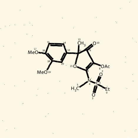 CCS(=O)(=O)N(C)C1=C(OC(C)=O)C(=O)C(C)(c2ccc(OC)c(OC)c2)O1